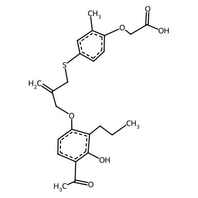 C=C(COc1ccc(C(C)=O)c(O)c1CCC)CSc1ccc(OCC(=O)O)c(C)c1